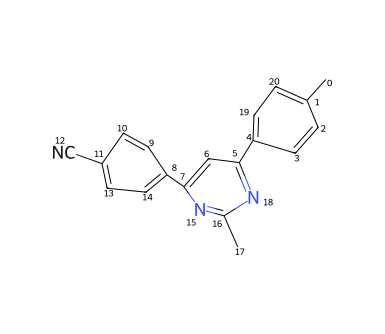 Cc1ccc(-c2cc(-c3ccc(C#N)cc3)nc(C)n2)cc1